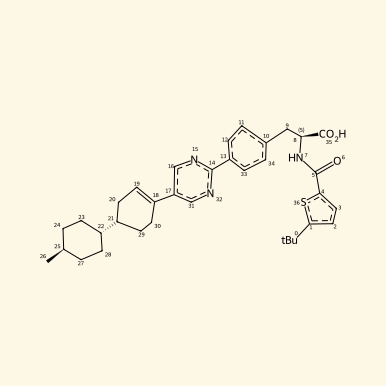 CC(C)(C)c1ccc(C(=O)N[C@@H](Cc2ccc(-c3ncc(C4=CCC([C@H]5CC[C@H](C)CC5)CC4)cn3)cc2)C(=O)O)s1